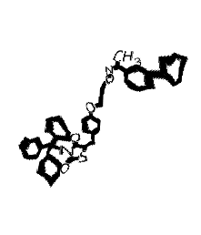 CC(=NOCCOc1ccc(CC2SC(=O)N(C(c3ccccc3)(c3ccccc3)c3ccccc3)C2=O)cc1)c1cccc(-c2ccccc2)c1